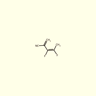 C=C(C#N)/C(F)=C(\C)F